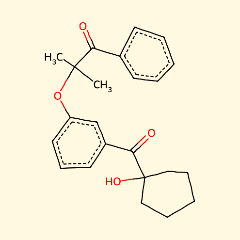 CC(C)(Oc1cccc(C(=O)C2(O)CCCCC2)c1)C(=O)c1ccccc1